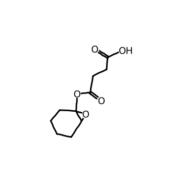 O=C(O)CCC(=O)OC12CCCCC1O2